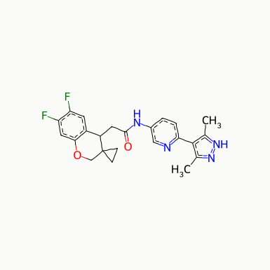 Cc1n[nH]c(C)c1-c1ccc(NC(=O)CC2c3cc(F)c(F)cc3OCC23CC3)cn1